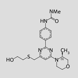 CNC(=O)Nc1ccc(-c2nc(CSCCO)cc(N3CCOC[C@@H]3C)n2)cc1